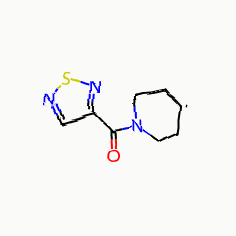 O=C(c1cnsn1)N1CC[CH]CC1